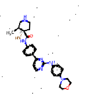 CC1CNCC[C@@]1(S)C(=O)Nc1ccc(-c2ccnc(Nc3ccc(N4CCOCC4)cc3)n2)cc1